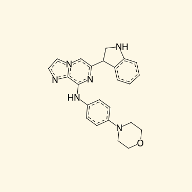 c1ccc2c(c1)NCC2c1cn2ccnc2c(Nc2ccc(N3CCOCC3)cc2)n1